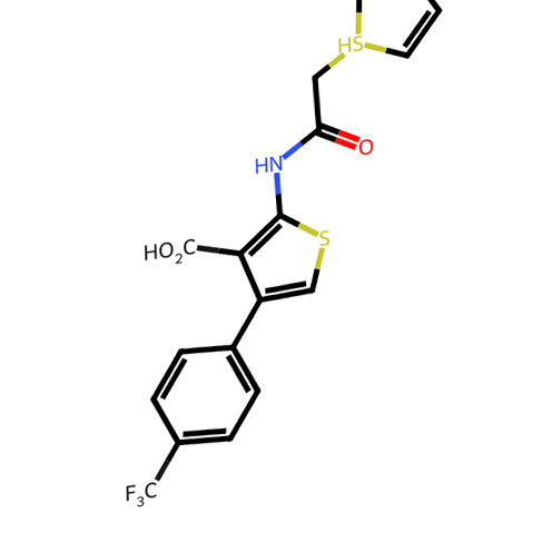 O=C(C[SH]1C=CC=C1)Nc1scc(-c2ccc(C(F)(F)F)cc2)c1C(=O)O